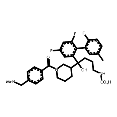 CNCc1ccc(C(=O)N2CCCC(C(O)(CCCNC(=O)O)c3cc(F)cc(F)c3-c3cc(C)ccc3F)C2)cc1